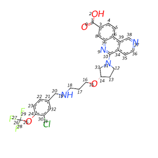 O=C(O)c1ccc2c(c1)nc(N1CC[C@H](OCCCNCc3ccc(OC(F)(F)F)c(Cl)c3)C1)c1ccncc12